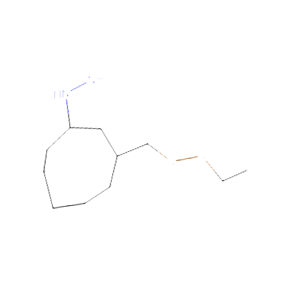 CCSSCC1CCCCCC(NN)C1